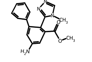 COC(=O)c1cc(N)cc(-c2ccccc2)c1-c1nncn1C